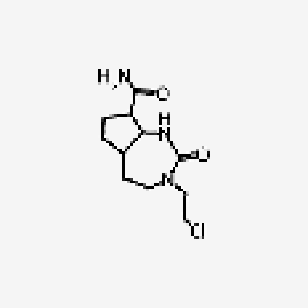 NC(=O)C1CCC2CCN(CCCl)C(=O)NC21